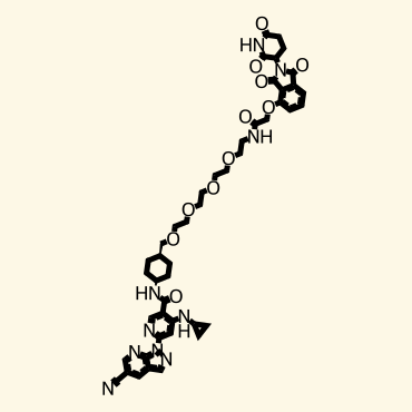 N#Cc1cnc2c(cnn2-c2cc(NC3CC3)c(C(=O)N[C@H]3CC[C@H](COCCOCCOCCOCCNC(=O)COc4cccc5c4C(=O)N(C4CCC(=O)NC4=O)C5=O)CC3)cn2)c1